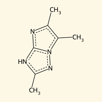 Cc1nn2c(C)c(C)nc2[nH]1